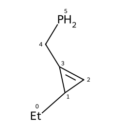 CCC1C=C1CP